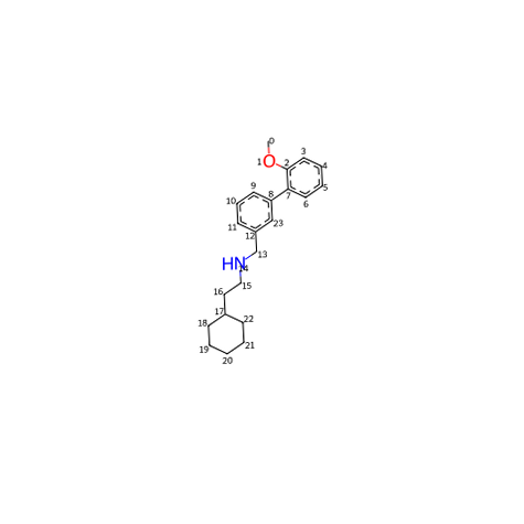 COc1ccccc1-c1cccc(CNCCC2CCCCC2)c1